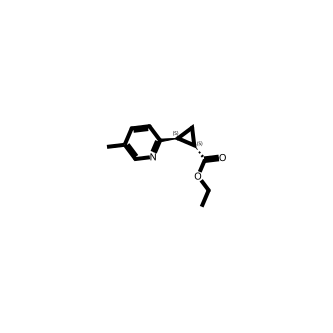 CCOC(=O)[C@H]1C[C@@H]1c1ccc(C)cn1